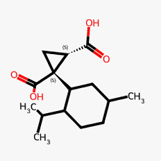 CC1CCC(C(C)C)C([C@@]2(C(=O)O)C[C@@H]2C(=O)O)C1